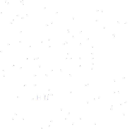 N/[C]=C/c1ccccc1